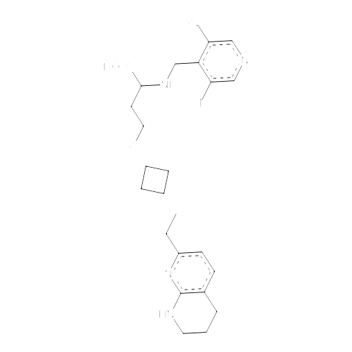 O=C(O)C(CCO[C@H]1C[C@@H](CCc2ccc3c(n2)NCCC3)C1)NCc1c(Cl)cncc1Cl